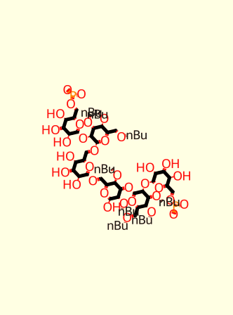 CCCCOCC1O[C@H](OC2[C@H](OCCCC)C(CO[C@H]3OC(CO[C@H]4OC(COCCCC)[C@@H](OCCCC)C(OCCCC)[C@H]4O[C@H]4OC(COP(=O)=O)[C@@H](O)C(O)[C@H]4O)[C@@H](O)C(O)[C@H]3O)O[C@@H](O)[C@@H]2OCCCC)[C@H](O[C@H]2OC(COP(=O)=O)[C@@H](O)C(O)[C@H]2O)C(OCCCC)[C@@H]1OCCCC